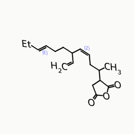 C=CC(/C=C\CC(C)C1CC(=O)OC1=O)CC/C=C/CC